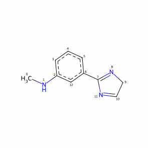 CNc1cccc(C2=NCC=N2)c1